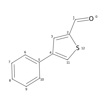 O=[C]c1cc(-c2ccccc2)cs1